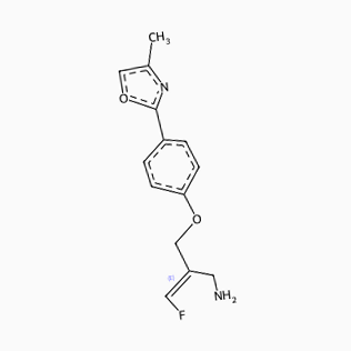 Cc1coc(-c2ccc(OC/C(=C/F)CN)cc2)n1